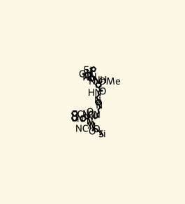 CC[C@@H]1C(=O)N(C)c2cnc(Nc3ccc(C(=O)NCCN4CCN(CCCN5CCC[C@H]5COc5nc6c(c(N7CCN(C(=O)OCC[Si](C)(C)C)[C@@H](CC#N)C7)n5)CCN(c5cccc7cccc(Cl)c57)C6)CC4)cc3OC)nc2N1C1CCCC1